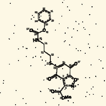 COC(=O)c1noc2c1C(=O)C(SCCCNC(=O)Oc1ccccc1)=CC2=O